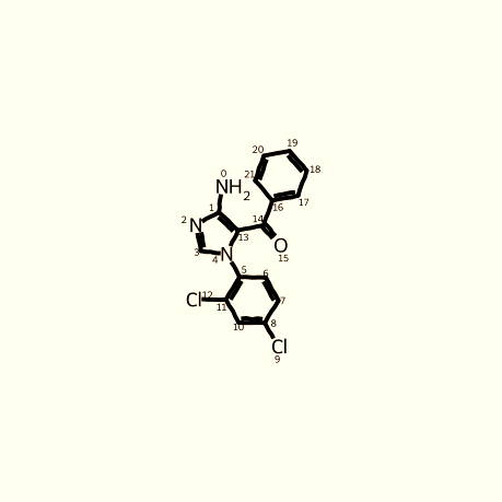 Nc1ncn(-c2ccc(Cl)cc2Cl)c1C(=O)c1ccccc1